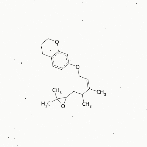 CC(=CCOc1ccc2c(c1)OCCC2)C(C)CC1OC1(C)C